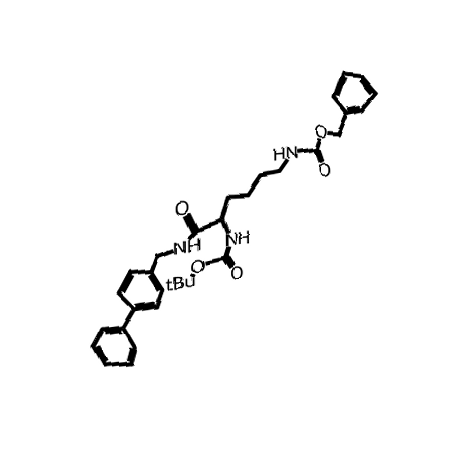 CC(C)(C)OC(=O)NC(CCCCNC(=O)OCc1ccccc1)C(=O)NCc1ccc(-c2ccccc2)cc1